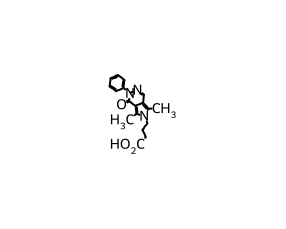 Cc1c2cnn(-c3ccccc3)c(=O)c2c(C)n1CCCC(=O)O